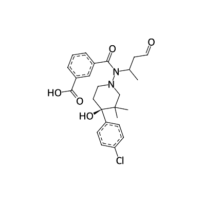 CC(CC=O)N(C(=O)c1cccc(C(=O)O)c1)N1CC[C@@](O)(c2ccc(Cl)cc2)C(C)(C)C1